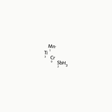 [Cr].[Mn].[SbH3].[Ti]